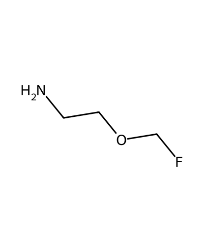 NCCOCF